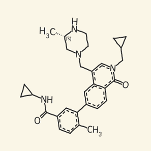 Cc1ccc(C(=O)NC2CC2)cc1-c1ccc2c(=O)n(CC3CC3)cc(CN3CCN[C@@H](C)C3)c2c1